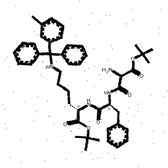 Cc1cccc(C(NCCCC[C@H](NC(=O)[C@H](Cc2ccccc2)NC(=O)C(N)C(=O)OC(C)(C)C)C(=O)OC(C)(C)C)(c2ccccc2)c2ccccc2)c1